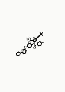 CC(C)(C)C#Cc1cc(N(C(=O)[C@H]2CC[C@H](C)CC2)[C@H]2CC[C@H](Oc3cccc(N4CCCC4)n3)CC2)c(C(=O)O)s1